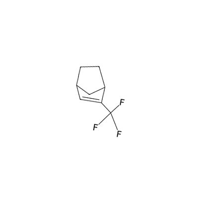 FC(F)(F)C1=CC2CCC1C2